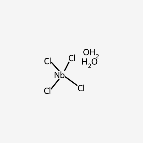 O.O.[Cl][Nb]([Cl])([Cl])[Cl]